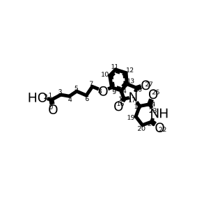 O=C(O)CCCCCOc1cccc2c1C(=O)N(C1CCC(=O)NC1=O)C2=O